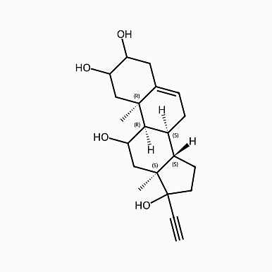 C#CC1(O)CC[C@H]2[C@@H]3CC=C4CC(O)C(O)C[C@]4(C)[C@@H]3C(O)C[C@@]21C